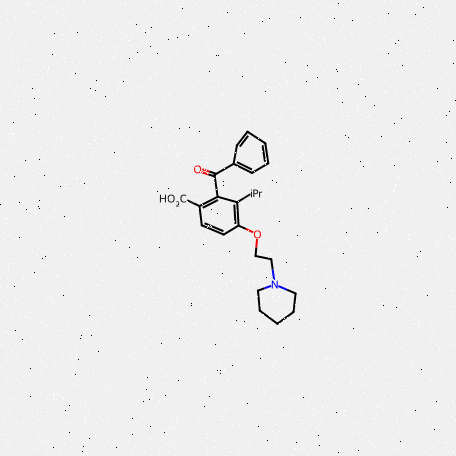 CC(C)c1c(OCCN2CCCCC2)ccc(C(=O)O)c1C(=O)c1ccccc1